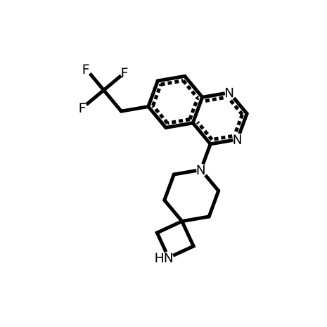 FC(F)(F)Cc1ccc2ncnc(N3CCC4(CC3)CNC4)c2c1